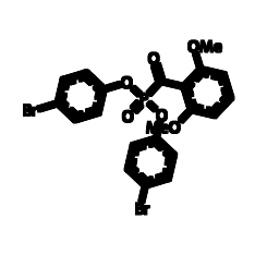 COc1cccc(OC)c1C(=O)P(=O)(Oc1ccc(Br)cc1)Oc1ccc(Br)cc1